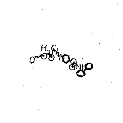 CN(CCN1CCC(OC(=O)Nc2ccccc2-c2ccccc2)CC1)C(=O)COCCC=O